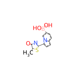 CC1SC(c2ccc3ccc(B(O)O)cn23)=NC1=O